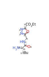 CCOC(=O)c1nnc(CNC(=O)[C@@H](N)C(C)(C)C)o1